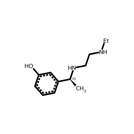 CCNCCN[C@@H](C)c1cccc(O)c1